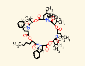 CCCCC1OC(=O)C(Cc2ccccc2)N(C)C(=O)C(C(C)C)OC(=O)C(CC(C)C)N(C)C(=O)C(C(C)C)OC(=O)C(CC(C)C)N(C)C(=O)C(C(C)C)OC(=O)C(Cc2ccccc2)N(C)C1=O